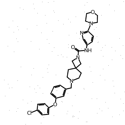 O=C(Nc1ccc(N2CCOCC2)nc1)N1CC2(CCN(Cc3cccc(Oc4ccc(Cl)cc4)c3)CC2)C1